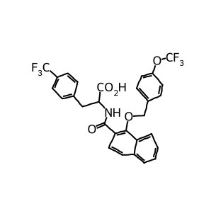 O=C(NC(Cc1ccc(C(F)(F)F)cc1)C(=O)O)c1ccc2ccccc2c1OCc1ccc(OC(F)(F)F)cc1